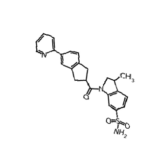 CC1CN(C(=O)C2Cc3ccc(-c4ccccn4)cc3C2)c2cc(S(N)(=O)=O)ccc21